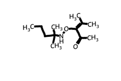 CCCC(C)(C)NOC(C(C)=O)=C(C)C